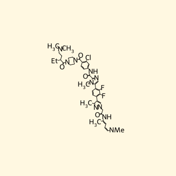 CCC(CCN(C)C)C(=O)N1CCN(C(=O)c2ccc(NC(=O)c3ncc(-c4ccc(-c5cn(CC(=O)N/C(C)=C/C=C\NC)nc5C)c(F)c4F)n3C)cc2Cl)CC1